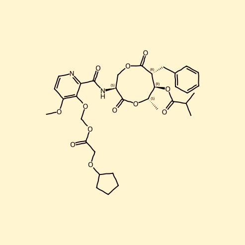 COc1ccnc(C(=O)N[C@H]2COC(=O)[C@H](Cc3ccccc3)[C@@H](OC(=O)C(C)C)[C@H](C)OC2=O)c1OCOC(=O)COC1CCCC1